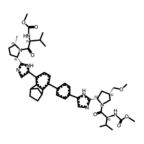 COC[C@H]1C[C@@H](c2ncc(-c3ccc(-c4ccc(-c5cnc([C@@H]6CC[C@H](C)N6C(=O)[C@@H](NC(=O)OC)C(C)C)[nH]5)c5c4C4CCC5C4)cc3)[nH]2)N(C(=O)[C@@H](NC(=O)OC)C(C)C)C1